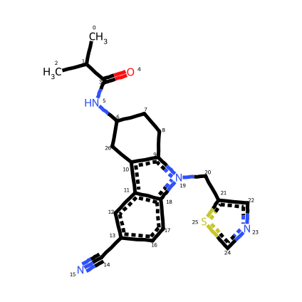 CC(C)C(=O)NC1CCc2c(c3cc(C#N)ccc3n2Cc2cncs2)C1